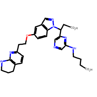 O=C(O)CCCNc1cncc(C(CC(=O)O)n2ncc3cc(OCCc4ccc5c(n4)NCCC5)ccc32)n1